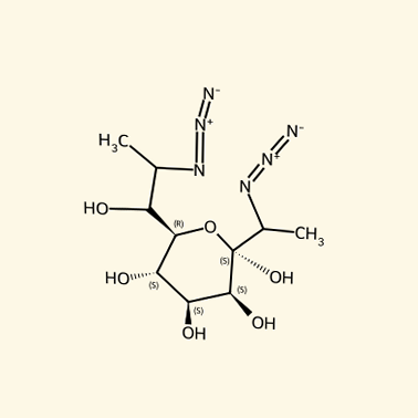 CC(N=[N+]=[N-])C(O)[C@H]1O[C@@](O)(C(C)N=[N+]=[N-])[C@@H](O)[C@@H](O)[C@@H]1O